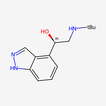 CC(C)(C)NC[C@H](O)c1cccc2[nH]ncc12